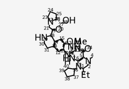 CCC1CN(C)C2=C(N[C@@](N)(Nc3cc4c(cc3OC)C(C(=O)CN3CCC[C@@H]3CO)NCC4)NC2=O)N1C1CCCC1